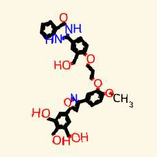 COc1ccc(-c2cc(-c3cc(CO)c(CO)c(CO)c3)on2)cc1OCCCOc1ccc(C2NC(=O)c3ccccc3N2)cc1CO